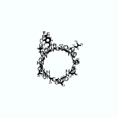 CC[C@H](C)[C@@H]1NC(=O)[C@H](CC(C)C)N(C)C(=O)C[C@@H](C)NC(=O)[C@H](CC(C)C)N(C)C(=O)C(C)(C)NC(=O)[C@H](COCC(C)(C)O)N(C)C(=O)[C@H](CCc2ccc(C(F)(F)F)c(Cl)c2)NC(=O)CN(C)C(=O)[C@H](COCCC(C)C)N(C)C(=O)CN(CC)C(=O)CN(C)C1=O